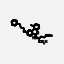 CSCC[C@H](NC(=O)c1ccc(OCCCc2ccccc2)cc1-c1ccccc1C)C(=O)O